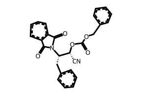 N#C[C@@H](OC(=O)OCc1ccccc1)[C@H](Cc1ccccc1)N1C(=O)c2ccccc2C1=O